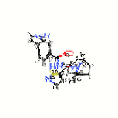 O=C(NC1C[C@H]2CC[C@@H](C1)N2Cc1ccns1)c1ccc2cc[nH]c2c1